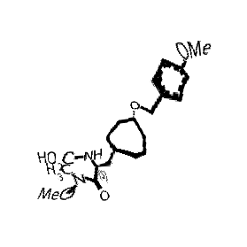 COc1ccc(CO[C@H]2CC[C@H](C[C@H](NC(=O)O)C(=O)N(C)OC)CC2)cc1